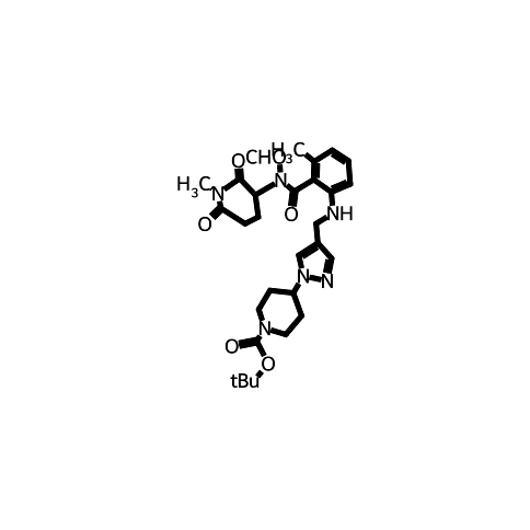 Cc1cccc(NCc2cnn(C3CCN(C(=O)OC(C)(C)C)CC3)c2)c1C(=O)N(C=O)C1CCC(=O)N(C)C1=O